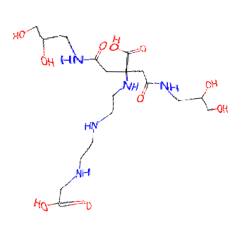 O=C(O)CNCCNCCNC(CC(=O)NCC(O)CO)(CC(=O)NCC(O)CO)C(=O)O